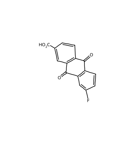 O=C(O)c1ccc2c(c1)C(=O)c1cc(F)ccc1C2=O